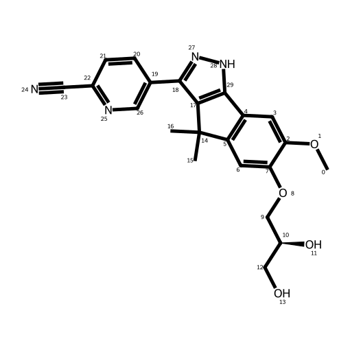 COc1cc2c(cc1OC[C@@H](O)CO)C(C)(C)c1c(-c3ccc(C#N)nc3)n[nH]c1-2